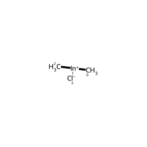 [CH3][In+][CH3].[Cl-]